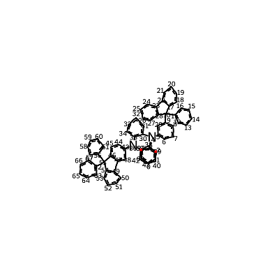 c1ccc(N(c2cccc(C3(c4ccccc4)c4ccccc4-c4ccccc43)c2)c2ccccc2N(c2ccccc2)c2ccc3c(c2)-c2ccccc2C3(c2ccccc2)c2ccccc2)cc1